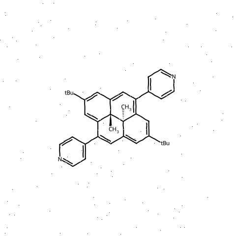 CC(C)(C)C1=CC2=CC(c3ccncc3)=C3C=C(C(C)(C)C)C=C4C=C(c5ccncc5)C(=C1)[C@@]2(C)[C@]43C